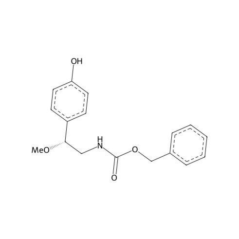 CO[C@@H](CNC(=O)OCc1ccccc1)c1ccc(O)cc1